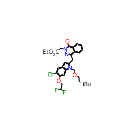 CCOC(=O)Cn1nc(Cc2cc3cc(Cl)c(OCC(F)F)cc3n2COCC[C@@H](C)CC)c2ccccc2c1=O